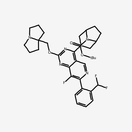 CC(C)(C)OC(=O)N1C2CCC1CN(c1nc(OCC34CCCN3CCC4)nc3c(F)c(-c4ccccc4C(F)F)ncc13)C2